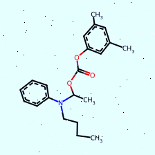 CCCCN(c1ccccc1)C(C)OC(=O)Oc1cc(C)cc(C)c1